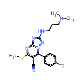 CSc1nc2nc(NCCCN(C)C)nn2c(-c2ccc(Cl)cc2)c1C#N